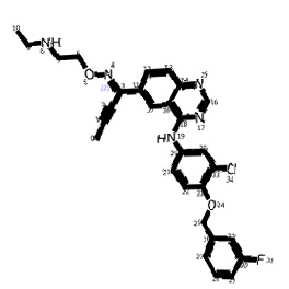 CC#C/C(=N\OCCNCC)c1ccc2ncnc(Nc3ccc(OCc4cccc(F)c4)c(Cl)c3)c2c1